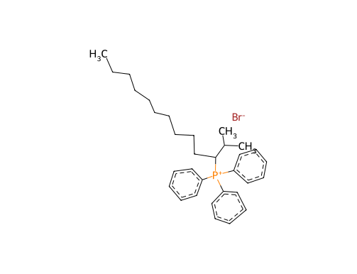 CCCCCCCCCCC(C(C)C)[P+](c1ccccc1)(c1ccccc1)c1ccccc1.[Br-]